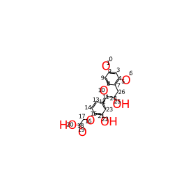 COc1cc(OC)c2c(c1)O[C@H](c1ccc(OCC(=O)O)c(O)c1)[C@H](O)C2